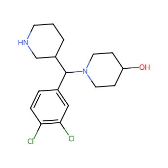 OC1CCN(C(c2ccc(Cl)c(Cl)c2)C2CCCNC2)CC1